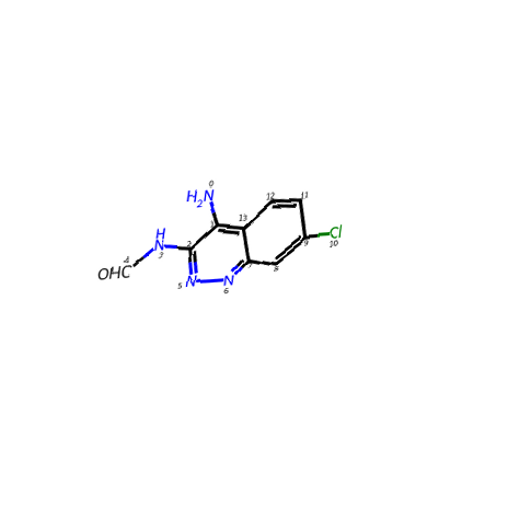 Nc1c(NC=O)nnc2cc(Cl)ccc12